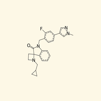 Cn1cc(-c2ccc(CN3C(=O)C4(CCN4CC4CC4)c4ccccc43)c(F)c2)cn1